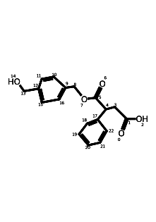 O=C(O)CC(C(=O)OCc1ccc(CO)cc1)c1ccccc1